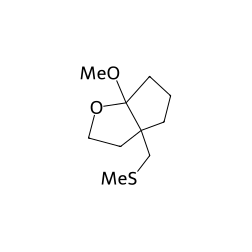 COC12CCCC1(CSC)CCO2